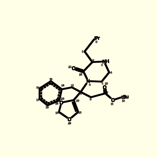 CC(C)CC1NCCN(C(CC(=O)OC(C)(C)C)(Cc2ccccc2)C2=COCO2)C1=O